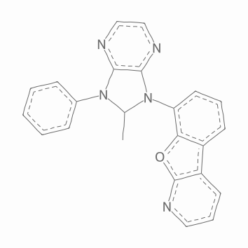 CC1N(c2ccccc2)c2nccnc2N1c1cccc2c1oc1ncccc12